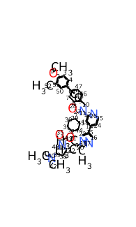 COc1ccc(C23CCC(CN(c4cc(-c5cnn(C(C)(C)C)c5)ccn4)C(=O)[C@H]4CC[C@H](OC(=O)N5CCC(N(C)C)C5)CC4)(CC2)CC3)cc1C